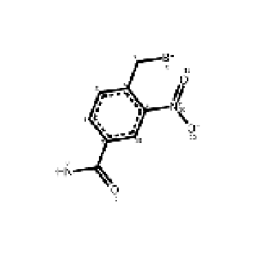 [NH]C(=O)c1ccc(CBr)c([N+](=O)[O-])c1